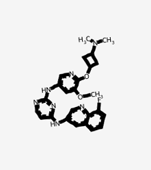 COc1cc(Nc2nccc(Nc3cnc4c(F)cccc4c3)n2)cnc1OC1CC(N(C)C)C1